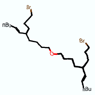 CCCCC=CC(CCCBr)CCCCOCCCCC(C=CCCCC)CCCBr